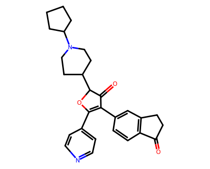 O=C1CCc2cc(C3=C(c4ccncc4)OC(C4CCN(C5CCCC5)CC4)C3=O)ccc21